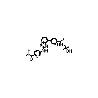 CNC(=O)c1ccc(Nc2nc3c(-c4ccc(C(=O)NCC(C)(C)O)cc4)cccn3n2)cn1